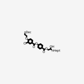 CCCCCCCCCCCCOc1ccc(C(=O)Oc2ccc(C(=O)OCC(O)CCCCCCC)cc2)cc1Cl